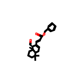 CC1(C)CCC[C@@]2(C)C1CC=C(/C=C/C(=O)OCc1ccccc1)[C@@H]2C=O